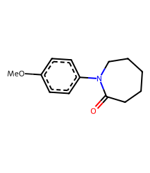 COc1ccc(N2CCCCCC2=O)cc1